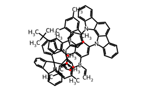 C=CB(c1cc(-n2c3ccccc3c3ccc4c5ccccc5n(-c5ccc(N6c7ccccc7C7(c8ccccc8-c8ccccc87)c7ccccc76)cc5)c4c32)cc2c1N(C(C)C)c1ccc(C(C)(C)C)cc1B2c1c(C)cc(C)cc1C)c1c(C)cc(C)cc1C